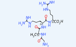 C[C@H](NC(=O)CN)C(=O)N[C@@H](CCCNC(=N)N)C(=O)N[C@@H](CCCNC(=N)N)C(=O)O